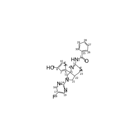 O=C(NC1=NC2(c3cc(O)cs3)CN(c3ncc(F)cn3)CC2CS1)c1ccccc1